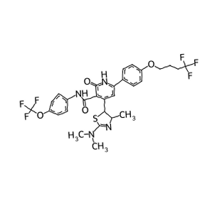 CC1N=C(N(C)C)SC1c1cc(-c2ccc(OCCCC(F)(F)F)cc2)[nH]c(=O)c1C(=O)Nc1ccc(OC(F)(F)F)cc1